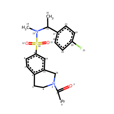 CC(C)C(=O)N1CCc2ccc(S(=O)(=O)N(C)C(C)c3ccc(F)cc3)cc2C1